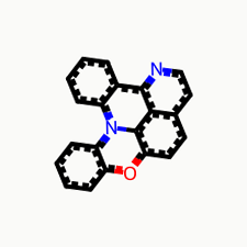 c1ccc2c(c1)oc1ccc3ccnc4c5ccccc5n2-c1c34